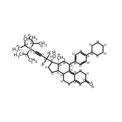 CC(C)[Si](C#CC(F)(F)[C@]1(O)CCC2C3CCC4=CC(=O)CCC4=C3C(c3ccc(C4CCCCC4)cc3)C[C@@]21C)(C(C)C)C(C)C